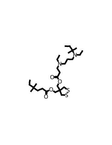 CCN(CCCN(CC)C(C)(C)CC)CCC(=O)OCC1(COC(=O)CCC(C)(C)CC)CSSC1